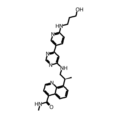 CNC(=O)c1ccnc2c([C@H](C)CNc3cc(-c4ccc(NCCCO)nc4)ncn3)cccc12